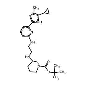 Cc1nc(-c2cccc(NCCNC3CCCN(C(=O)OC(C)(C)C)C3)n2)[nH]c1C1CC1